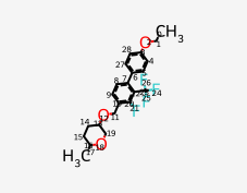 CCOc1ccc(-c2ccc(COC3CCC(C)OC3)c(F)c2C(F)(F)F)cc1